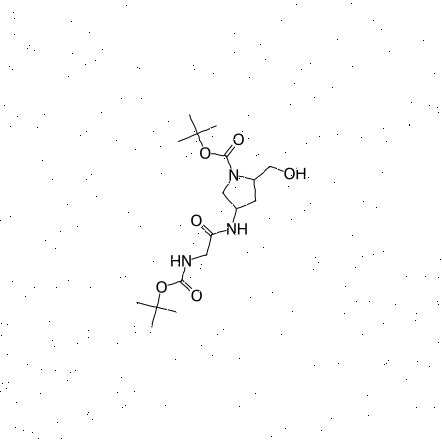 CC(C)(C)OC(=O)NCC(=O)NC1CC(CO)N(C(=O)OC(C)(C)C)C1